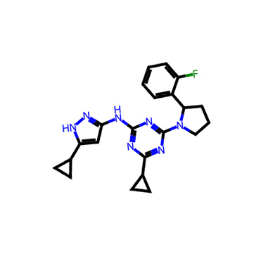 Fc1ccccc1C1CCCN1c1nc(Nc2cc(C3CC3)[nH]n2)nc(C2CC2)n1